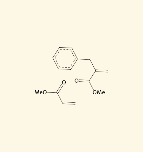 C=C(Cc1ccccc1)C(=O)OC.C=CC(=O)OC